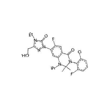 CCn1c(CO)nn(-c2cc3c(cc2F)C(=O)N(c2c(F)cccc2Cl)C(C)(C)N3C(C)C)c1=O